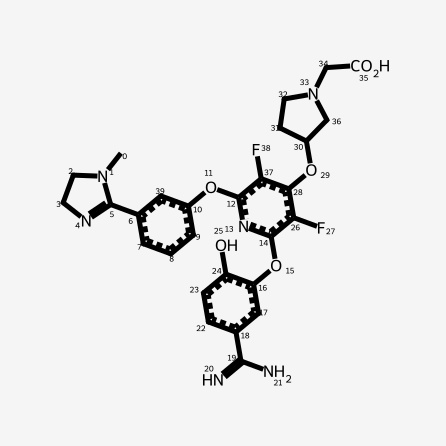 CN1CCN=C1c1cccc(Oc2nc(Oc3cc(C(=N)N)ccc3O)c(F)c(OC3CCN(CC(=O)O)C3)c2F)c1